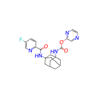 O=C(NC12CC3CC(C1)CC(NC(=O)c1ccc(F)cn1)(C3)C2)Oc1cnccn1